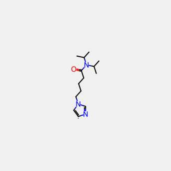 CC(C)N(C(=O)CCCCn1c[c]nc1)C(C)C